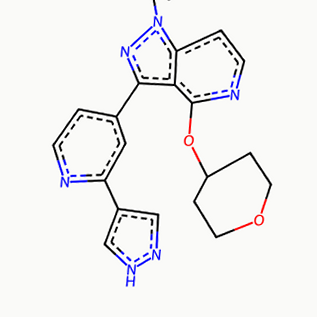 Cn1nc(-c2ccnc(-c3cn[nH]c3)c2)c2c(OC3CCOCC3)nccc21